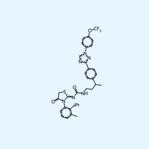 Cc1cccc(N2C(=O)CS/C2=N\C(=O)NCCC(C)c2ccc(-c3ncn(-c4ccc(OC(F)(F)F)cc4)n3)cc2)c1C(C)C